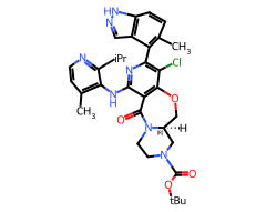 Cc1ccnc(C(C)C)c1Nc1nc(-c2c(C)ccc3[nH]ncc23)c(Cl)c2c1C(=O)N1CCN(C(=O)OC(C)(C)C)C[C@@H]1CO2